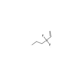 C=C[Si](F)(F)CCC